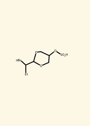 CCCCC(CC)C1OCC(OS(=O)(=O)O)CO1